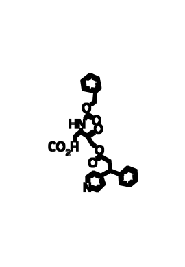 O=C(O)CC(NC(=O)OCc1ccccc1)C(=O)COC(=O)CC(c1ccccc1)c1ccncc1